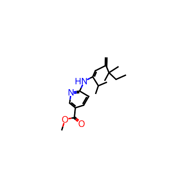 C=C(/C=C(/Nc1ccc(C(=O)OC)cn1)C(C)C)C(C)(C)CC